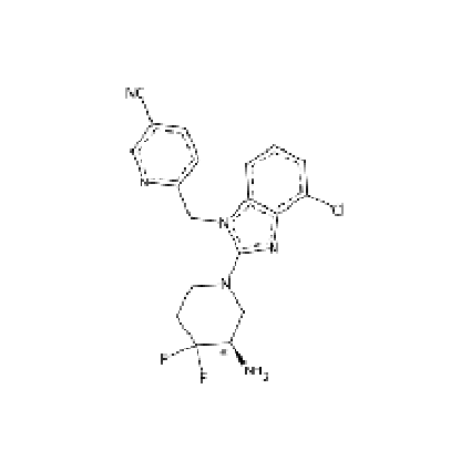 N#Cc1ccc(Cn2c(N3CCC(F)(F)[C@H](N)C3)nc3c(Cl)cccc32)nc1